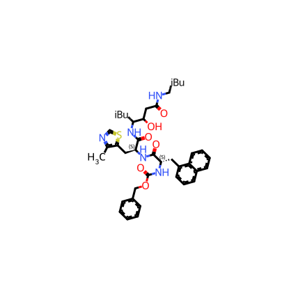 CCC(C)CNC(=O)CC(O)C(NC(=O)[C@H](Cc1scnc1C)NC(=O)[C@H](Cc1cccc2ccccc12)NC(=O)OCc1ccccc1)C(C)CC